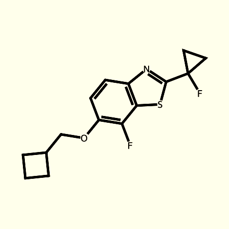 Fc1c(OCC2CCC2)ccc2nc(C3(F)CC3)sc12